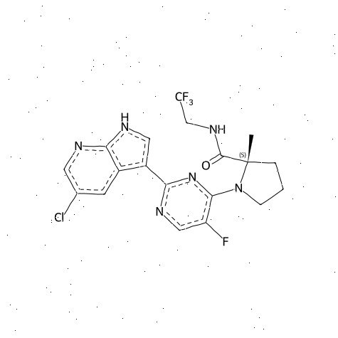 C[C@@]1(C(=O)NCC(F)(F)F)CCCN1c1nc(-c2c[nH]c3ncc(Cl)cc23)ncc1F